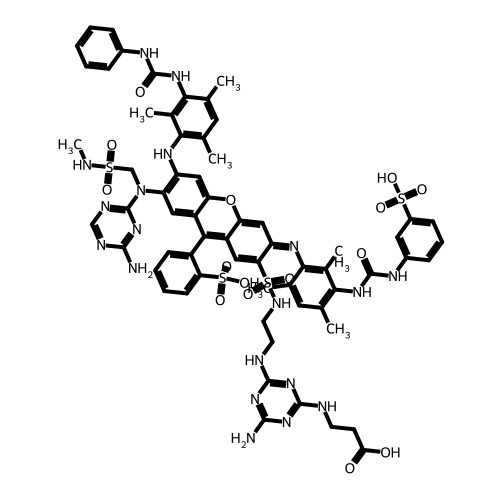 CNS(=O)(=O)CN(c1ncnc(N)n1)c1cc2c(-c3ccccc3S(=O)(=O)O)c3cc(S(=O)(=O)NCCNc4nc(N)nc(NCCC(=O)O)n4)/c(=N\c4c(C)cc(C)c(NC(=O)Nc5cccc(S(=O)(=O)O)c5)c4C)cc-3oc2cc1Nc1c(C)cc(C)c(NC(=O)Nc2ccccc2)c1C